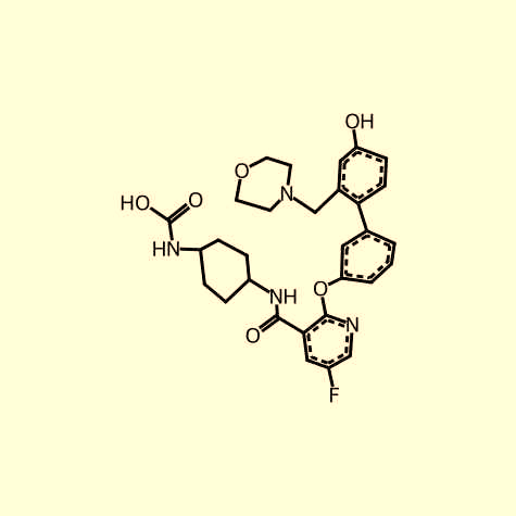 O=C(O)NC1CCC(NC(=O)c2cc(F)cnc2Oc2cccc(-c3ccc(O)cc3CN3CCOCC3)c2)CC1